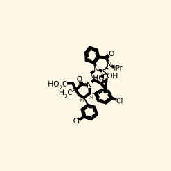 CC(C)N1C(=O)c2ccccc2N(C[C@H](C2CC2)N2C(=O)[C@](C)(CC(=O)O)C[C@H](c3cccc(Cl)c3)[C@H]2c2ccc(Cl)cc2)S1(O)O